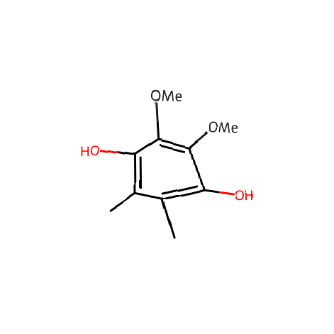 COc1c(O)c(C)c(C)c(O)c1OC